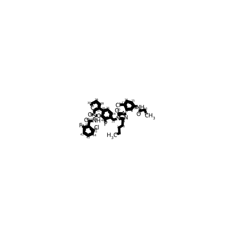 CCCCc1nn(-c2cc(NC(=O)CC)ccc2Cl)c(=O)n1Cc1ccc(-c2ccccc2S(=O)(=O)NC(=O)c2c(F)cccc2Cl)cc1F